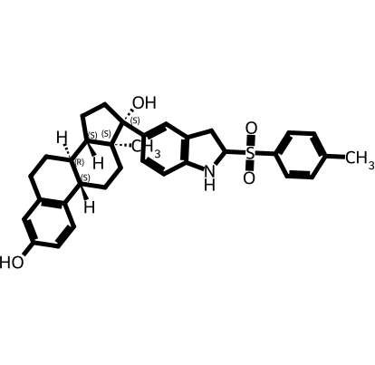 Cc1ccc(S(=O)(=O)C2Cc3cc([C@]4(O)CC[C@H]5[C@@H]6CCc7cc(O)ccc7[C@H]6CC[C@@]54C)ccc3N2)cc1